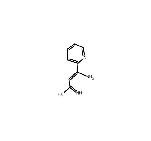 N=C(/C=C(\N)c1ccccn1)C(F)(F)F